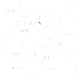 CCOC(=O)[C@H](C)N[P@](=O)(OC[C@@]1(C#N)O[C@@H](c2ccc3c(N)ccnn23)[C@H](OC(C)=O)[C@@H]1OC(C)=O)Oc1ccccc1